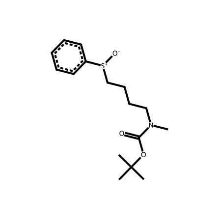 CN(CCCC[S+]([O-])c1ccccc1)C(=O)OC(C)(C)C